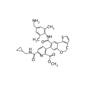 COC(=O)c1nc(C(=O)NCC2CC2)ccc1-c1cc2c(cc1C(=O)Nc1c(C)cc(CN)cc1C)-c1sccc1CCO2